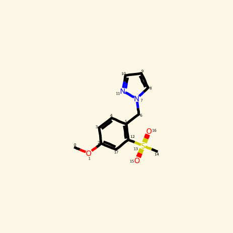 COc1ccc(Cn2cccn2)c(S(C)(=O)=O)c1